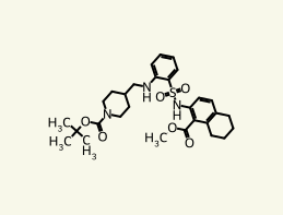 COC(=O)c1c(NS(=O)(=O)c2ccccc2NCC2CCN(C(=O)OC(C)(C)C)CC2)ccc2c1CCCC2